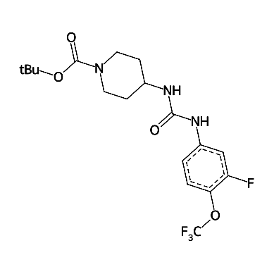 CC(C)(C)OC(=O)N1CCC(NC(=O)Nc2ccc(OC(F)(F)F)c(F)c2)CC1